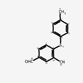 Cc1ccc(Sc2ccc(C=O)cc2C#N)cc1